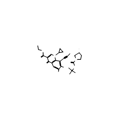 CCOC(=O)c1cn(C2CC2)c2c(C#CC[C@@H]3[C@H](O)CCN3C(=O)OC(C)(C)C)c(F)c(F)cc2c1=O